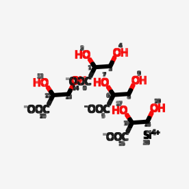 O=C([O-])C(O)CO.O=C([O-])C(O)CO.O=C([O-])C(O)CO.O=C([O-])C(O)CO.[Si+4]